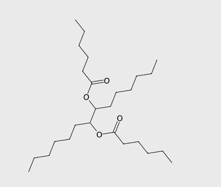 CCCCCCC(OC(=O)CCCCC)C(CCCCCC)OC(=O)CCCCC